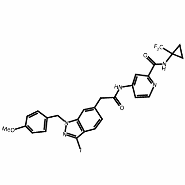 COc1ccc(Cn2nc(I)c3ccc(CC(=O)Nc4ccnc(C(=O)NC5(C(F)(F)F)CC5)c4)cc32)cc1